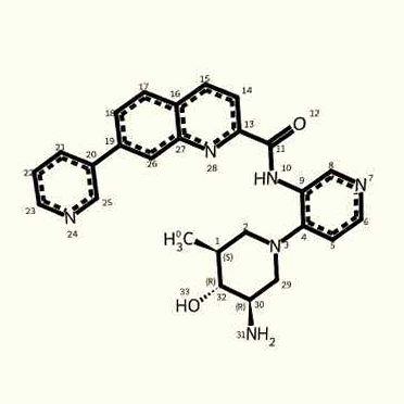 C[C@H]1CN(c2ccncc2NC(=O)c2ccc3ccc(-c4cccnc4)cc3n2)C[C@@H](N)[C@@H]1O